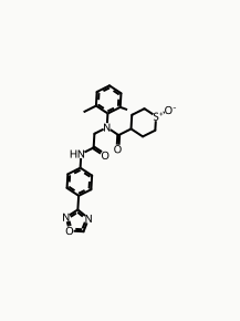 Cc1cccc(C)c1N(CC(=O)Nc1ccc(-c2ncon2)cc1)C(=O)C1CC[S+]([O-])CC1